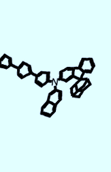 c1ccc(-c2ccc(-c3ccc(N(c4ccc5c(c4)C4(c6ccccc6-5)C5CC6CC(C5)CC4C6)c4ccc5ccccc5c4)cc3)cc2)cc1